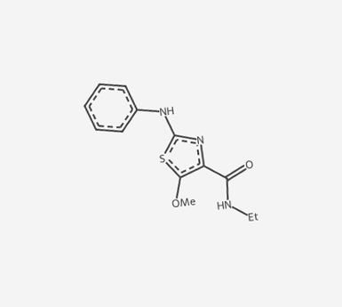 CCNC(=O)c1nc(Nc2ccccc2)sc1OC